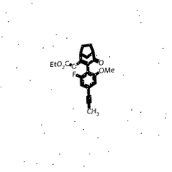 CC#Cc1cc(F)c(C2=C(OC(=O)OCC)C3CCC(C3)C2=O)c(OC)c1